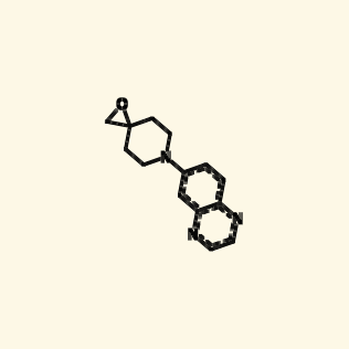 c1cnc2cc(N3CCC4(CC3)CO4)ccc2n1